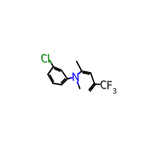 C=C(/C=C(/C)N(C)c1cccc(Cl)c1)C(F)(F)F